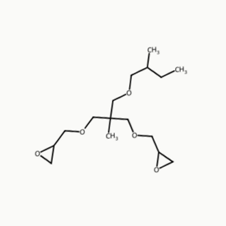 CCC(C)COCC(C)(COCC1CO1)COCC1CO1